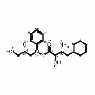 N[C@H](CC1CCCCC1)C(O)C(=O)NN(C[C@@H](O)CO)c1ccccc1